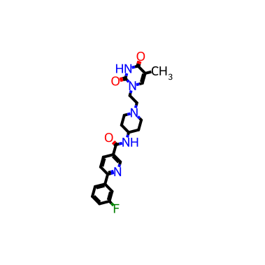 Cc1cn(CCN2CCC(NC(=O)c3ccc(-c4cccc(F)c4)nc3)CC2)c(=O)[nH]c1=O